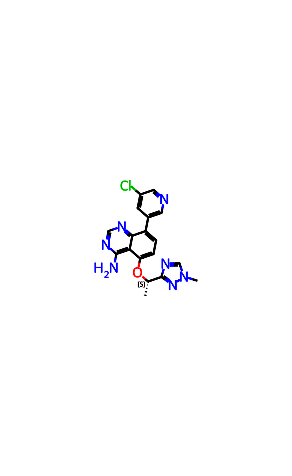 C[C@H](Oc1ccc(-c2cncc(Cl)c2)c2ncnc(N)c12)c1ncn(C)n1